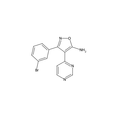 Nc1onc(-c2cccc(Br)c2)c1-c1ccncn1